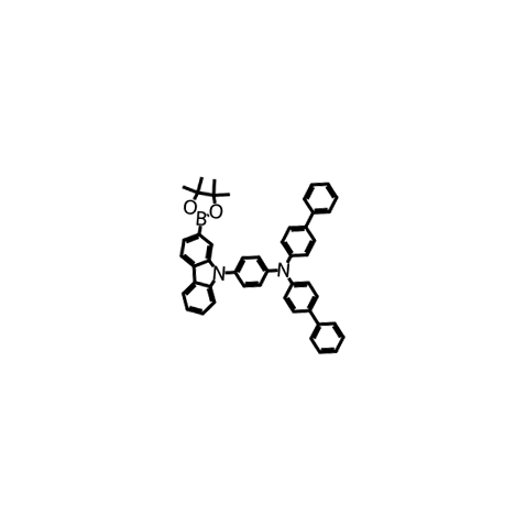 CC1(C)OB(c2ccc3c4ccccc4n(-c4ccc(N(c5ccc(-c6ccccc6)cc5)c5ccc(-c6ccccc6)cc5)cc4)c3c2)OC1(C)C